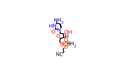 B[PH]1(OCCC#N)OCC2OC(N3C=CC(N)NC3=O)C(O)[C@@H]2O1